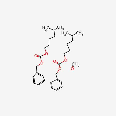 C=O.CC(C)CCCCOC(=O)OCc1ccccc1.CC(C)CCCCOC(=O)OCc1ccccc1